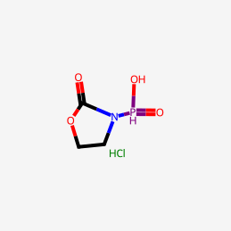 Cl.O=C1OCCN1[PH](=O)O